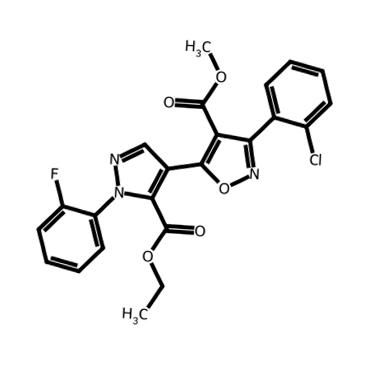 CCOC(=O)c1c(-c2onc(-c3ccccc3Cl)c2C(=O)OC)cnn1-c1ccccc1F